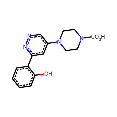 O=C(O)N1CCN(c2cnnc(-c3ccccc3O)c2)CC1